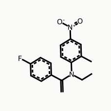 C=C(c1ccc(F)cc1)N(CC)c1ccc([N+](=O)[O-])cc1C